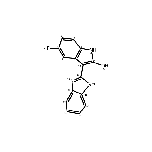 Oc1[nH]c2ccc(F)cc2c1-c1nc2ccccc2s1